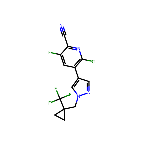 N#Cc1nc(Cl)c(-c2cnn(CC3(C(F)(F)F)CC3)c2)cc1F